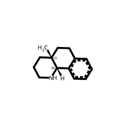 C[C@]12CCCN[C@H]1c1ccccc1CC2